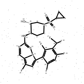 O=S(=O)(C1CC1)N1CC[C@@H](Nc2ncc3c(F)cc(-c4c(F)cc(F)c(C(F)F)c4F)n3n2)[C@H](O)C1